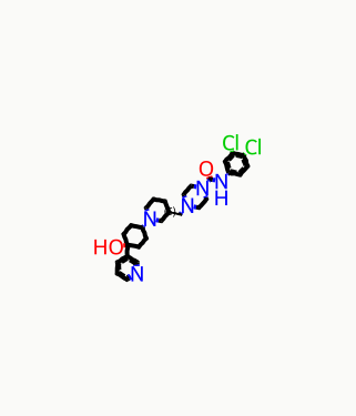 O=C(Nc1ccc(Cl)c(Cl)c1)N1CCN(C[C@@H]2CCCN(C3CCC(O)(c4cccnc4)CC3)C2)CC1